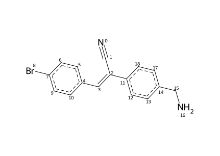 N#C/C(=C\c1ccc(Br)cc1)c1ccc(CN)cc1